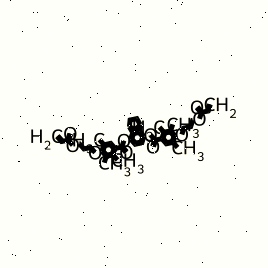 C=CC(=O)OCCCOc1c(C)cc(C(=O)Oc2ccc(OC(=O)c3cc(C)c(OCCCOC(=O)C=C)c(C)c3C)c3c2C2CCC3C2)c(C)c1C